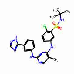 Cc1cnc(Nc2cccc(-c3ncn[nH]3)c2)nc1Nc1ccc(Cl)c(S(=O)(=O)NC(C)(C)C)c1